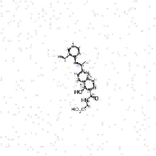 C=Cc1ccccc1/C=C(\C)c1ccc2c(O)c(C(=O)NCC(=O)O)ncc2n1